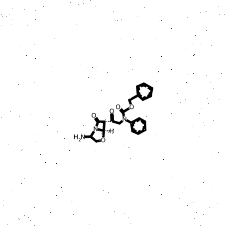 NC1CO[C@@H]2[C@@H](C(=O)CN(C(=O)OCc3ccccc3)c3ccccc3)C(=O)N12